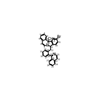 CC12c3ccccc3C=CN1C(Cc1ccccc1-c1nccc3ccccc13)c1ccc(Br)cc12